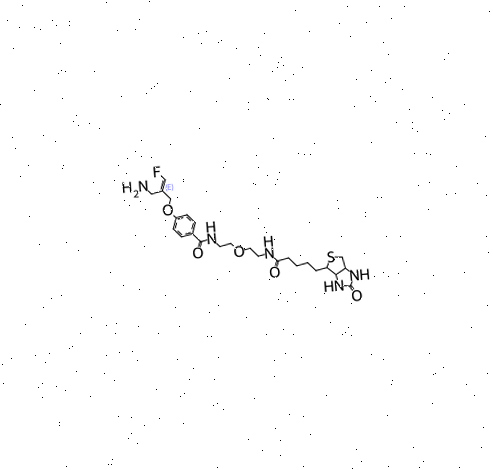 NC/C(=C\F)COc1ccc(C(=O)NCCOCCNC(=O)CCCCC2SCC3NC(=O)NC32)cc1